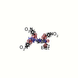 CC[Si](CC)(CC)O[C@H](C)C1C(=O)N2C(C(=O)OC(=O)c3ccc([N+](=O)[O-])cc3)=C(CN3CC[C@H](CNC(=NC(=O)OC(=O)c4ccc([N+](=O)[O-])cc4)NC(=O)OC(=O)c4ccc([N+](=O)[O-])cc4)C3)[C@H](C)C12